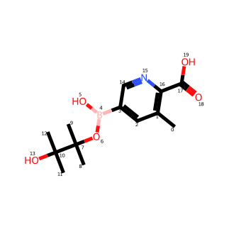 Cc1cc(B(O)OC(C)(C)C(C)(C)O)cnc1C(=O)O